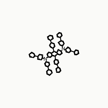 c1ccc(-c2ccc(-c3c4ccc(N(c5ccc(-c6ccccc6)cc5)c5ccc(-c6ccccc6)cc5)cc4c(-c4ccc(-c5ccccc5)cc4)c4ccc(N(c5ccc(-c6ccccc6)cc5)c5ccc(-c6ccccc6)cc5)cc34)cc2)cc1